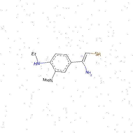 CCNc1ccc(/C(N)=C/S)cc1NC